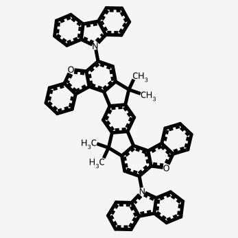 CC1(C)c2cc3c(cc2-c2c1cc(-n1c4ccccc4c4ccccc41)c1oc4ccccc4c21)C(C)(C)c1cc(-n2c4ccccc4c4ccccc42)c2oc4ccccc4c2c1-3